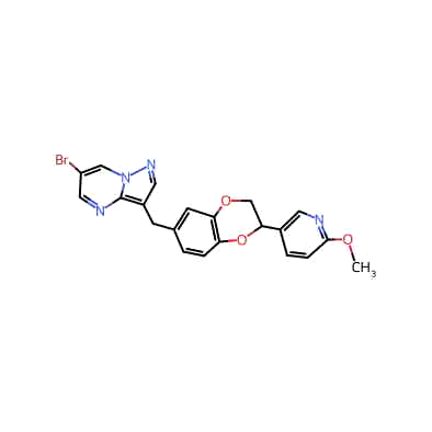 COc1ccc(C2COc3cc(Cc4cnn5cc(Br)cnc45)ccc3O2)cn1